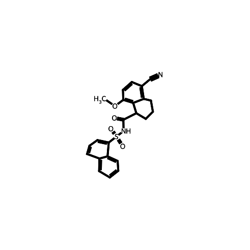 COc1ccc(C#N)c2c1C(C(=O)NS(=O)(=O)c1cccc3ccccc13)CCC2